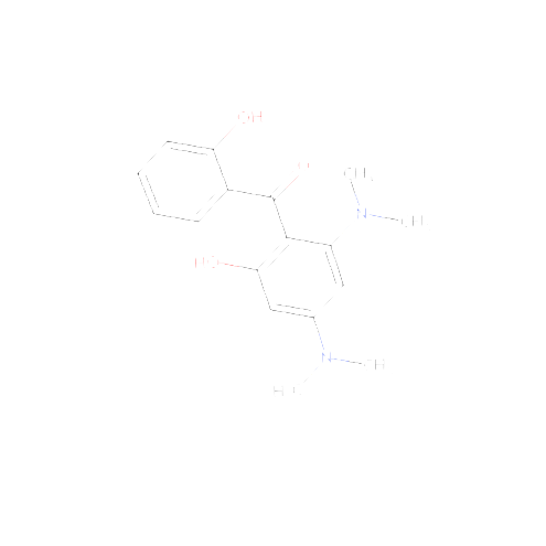 CN(C)c1cc(O)c(C(=O)c2ccccc2O)c(N(C)C)c1